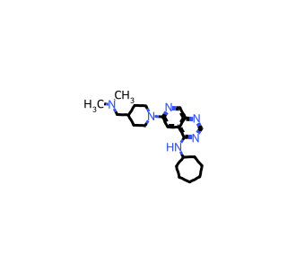 CN(C)CC1CCN(c2cc3c(NC4CCCCCC4)ncnc3cn2)CC1